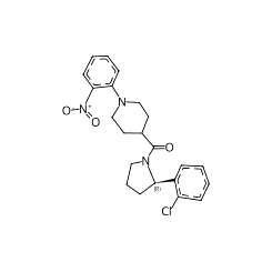 O=C(C1CCN(c2ccccc2[N+](=O)[O-])CC1)N1CCC[C@@H]1c1ccccc1Cl